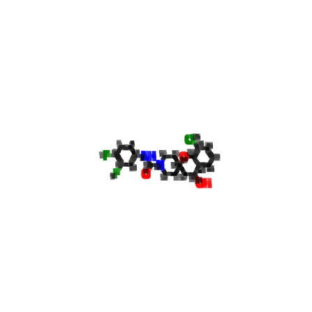 O=C(Nc1ccc(F)c(F)c1)N1CCC2(CC1)CC(O)c1cccc(Cl)c1O2